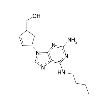 CCCCNc1nc(N)nc2c1ncn2[C@@H]1C=C[C@H](CO)C1